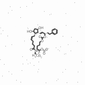 CCNC(=O)CCC/C=C\C[C@@H]1[C@@H](/C=C/[C@H](CCc2ccccc2)OC(=O)OCCCC[C@@H](C)O[N+](=O)[O-])[C@H](O)C[C@@H]1O